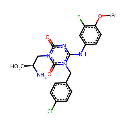 CC(C)Oc1ccc(Nc2nc(=O)n(C[C@@H](N)C(=O)O)c(=O)n2Cc2ccc(Cl)cc2)cc1F